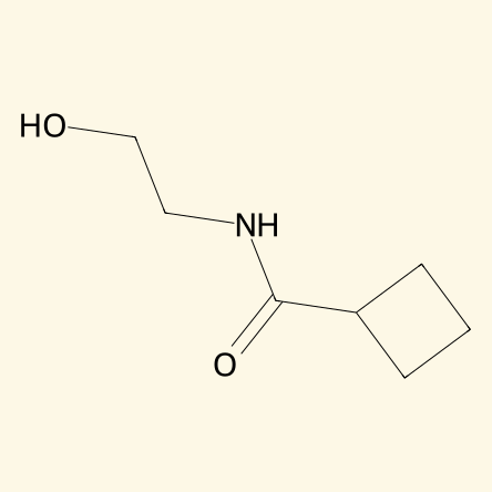 O=C(NCCO)C1CCC1